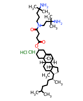 CC(C)CCC[C@@H](C)[C@H]1CC[C@H]2[C@@H]3CC=C4C[C@@H](OC(=O)CCC(=O)N(CCCC(C)(C)N)CCC(C)(C)N)CC[C@]4(C)[C@H]3CC[C@]12C.Cl.Cl